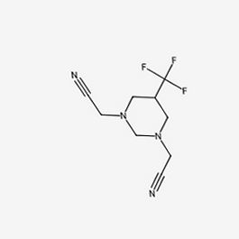 N#CCN1CC(C(F)(F)F)CN(CC#N)C1